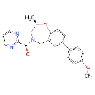 C[C@@H]1CN(C(=O)c2ncccn2)Cc2cc(-c3ccc(OC(F)(F)F)cc3)ccc2O1